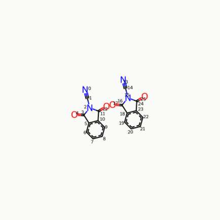 N#CN1C(=O)c2ccccc2C1=O.N#CN1C(=O)c2ccccc2C1=O